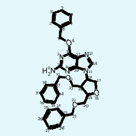 Nc1nc(OCc2ccccc2)c2ncn(C3COC(COCc4ccccc4)C3COCc3ccccc3)c2n1